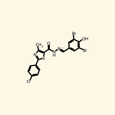 Cc1nc(-c2ccc(Cl)cc2)sc1C(=O)N/N=C/c1cc(Br)c(O)c(Br)c1